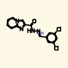 O=C(N/N=C/c1cc(Cl)cc(Cl)c1)c1cn2ccccc2n1